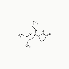 CCOC(OCC)(OCC)C1CCC(=O)N1